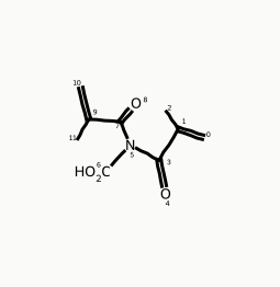 C=C(C)C(=O)N(C(=O)O)C(=O)C(=C)C